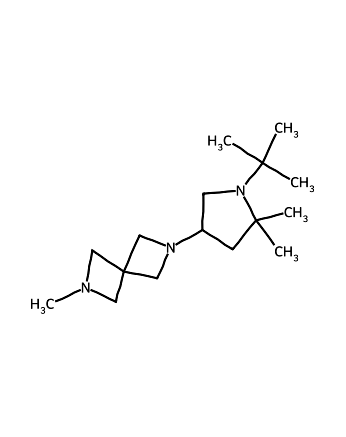 CN1CC2(C1)CN(C1CN(C(C)(C)C)C(C)(C)C1)C2